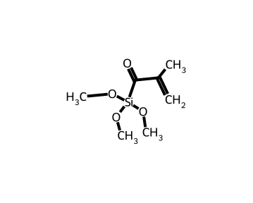 C=C(C)C(=O)[Si](OC)(OC)OC